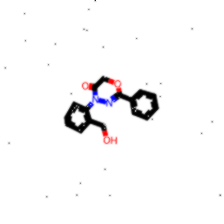 O=C1COC(c2ccccc2)=NN1c1ccccc1CO